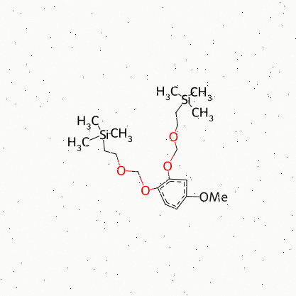 COc1ccc(OCOCC[Si](C)(C)C)c(OCOCC[Si](C)(C)C)c1